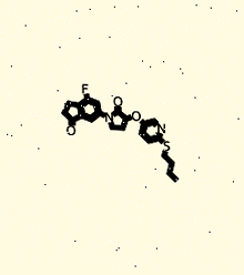 CCCCSc1ccc(OC2CCN(c3cc(F)c4c(c3)C(=O)CC4)C2=O)cn1